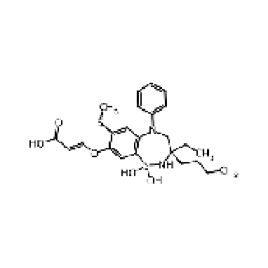 CCCC[C@]1(CC)CN(c2ccccc2)c2cc(SC)c(O/C=C/C(=O)O)cc2S(O)(O)N1